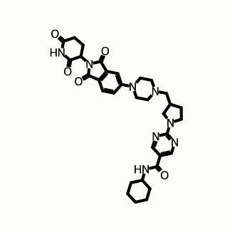 O=C1CCC(N2C(=O)c3ccc(N4CCN(CC5CCN(c6ncc(C(=O)NC7CCCCC7)cn6)C5)CC4)cc3C2=O)C(=O)N1